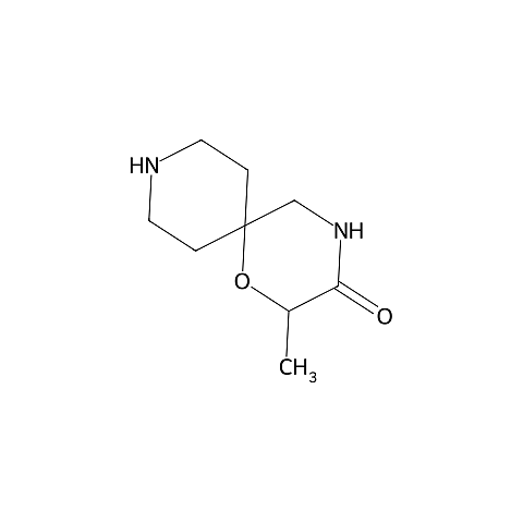 CC1OC2(CCNCC2)CNC1=O